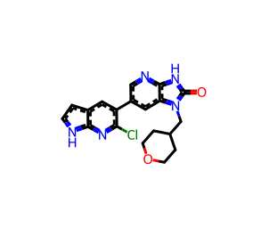 O=c1[nH]c2ncc(-c3cc4cc[nH]c4nc3Cl)cc2n1CC1CCOCC1